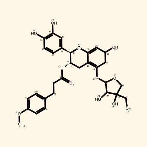 COc1ccc(CCC(=O)O[C@H]2CC3=C(OC4OCC(O)(CO)C4O)CC(O)C=C3O[C@@H]2c2ccc(O)c(O)c2)cc1